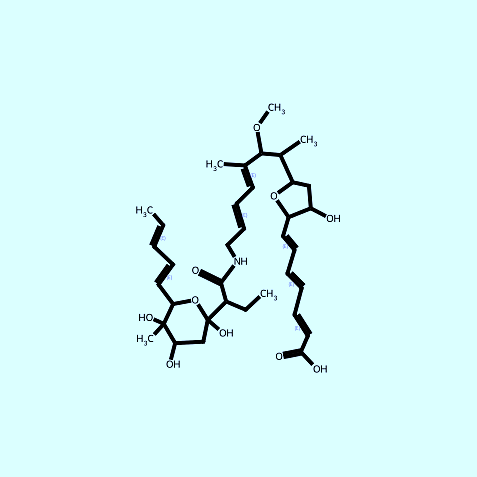 C/C=C/C=C/C1OC(O)(C(CC)C(=O)NC/C=C/C=C(\C)C(OC)C(C)C2CC(O)C(/C=C/C=C/C=C/C(=O)O)O2)CC(O)C1(C)O